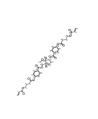 C=CC(=O)OCCCC(=O)Oc1ccc(C(=O)O[C@H]2CO[C@H]3[C@@H]2OC[C@H]3OC(=O)c2ccc(OC(=O)CCCOC(=O)C=C)cc2)cc1